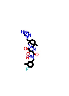 Cc1cc(CNC(=O)c2nc3n(c(=O)c2O)CC2(CN4CNC=N4)CCC3(C)CC2)ccc1F